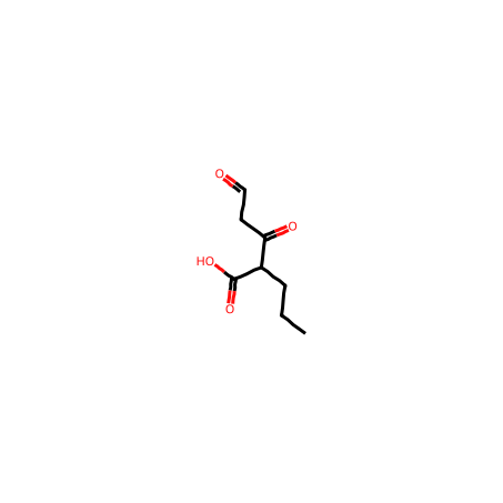 CCCC(C(=O)O)C(=O)CC=O